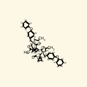 CCC[N@+](Cc1ccc(Oc2ccccc2)cc1)(CC1CC1)C(=O)[C@@H]1[C@H](C(=O)O)[C@@H](C(=O)O)[C@H]1C(=O)[N@@+](CCC)(Cc1ccc(Oc2ccccc2)cc1)CC1CC1